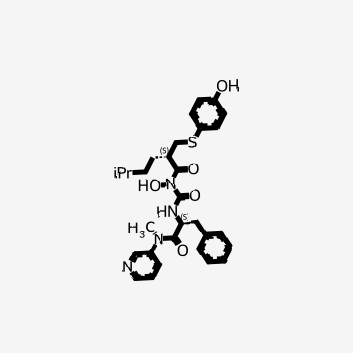 CC(C)CC[C@H](CSc1ccc(O)cc1)C(=O)N(O)C(=O)N[C@@H](Cc1ccccc1)C(=O)N(C)c1cccnc1